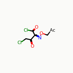 CC(=O)CO/N=C(\C(=O)Cl)C(=O)CCl